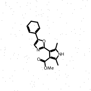 COC(=O)c1c(C)[nH]c(C)c1-c1ncc(C2=CCCC=C2)o1